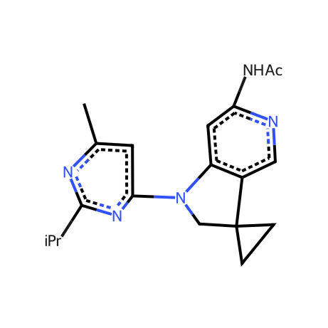 CC(=O)Nc1cc2c(cn1)C1(CC1)CN2c1cc(C)nc(C(C)C)n1